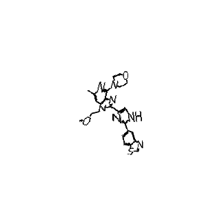 COCCn1c(-c2c[nH]c(-c3ccc4scnc4c3)n2)nc2c(N3CCOCC3)nc(C)cc21